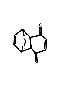 O=C1C=CC(=O)C2C3C=CC(CCC3)C12